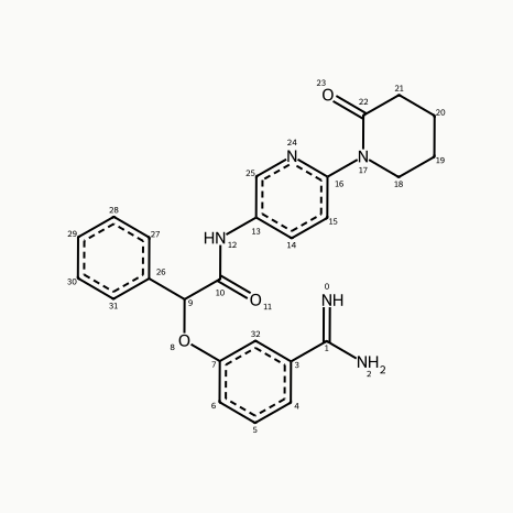 N=C(N)c1cccc(OC(C(=O)Nc2ccc(N3CCCCC3=O)nc2)c2ccccc2)c1